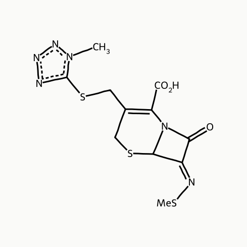 CSN=C1C(=O)N2C(C(=O)O)=C(CSc3nnnn3C)CSC12